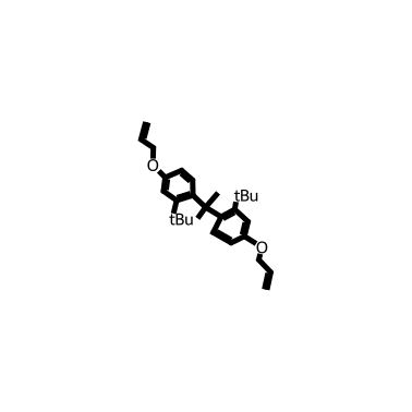 C=CCOc1ccc(C(C)(C)c2ccc(OCC=C)cc2C(C)(C)C)c(C(C)(C)C)c1